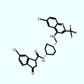 O=C1CC(C(=O)N[C@H]2CC[C@@H](CNc3cc(C(F)(F)F)nc4ccc(Cl)cc34)CC2)c2cc(Cl)ccc21